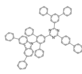 c1ccc(-c2ccc(-c3nc(-c4cc(-c5ccccc5)cc(-c5ccccc5)c4)nc(-c4cc(-c5ccccc5)c(-n5c6ccc(-c7ccccc7)cc6c6cc(-c7ccccc7)ccc65)c(-c5ccccc5)c4)n3)cc2)cc1